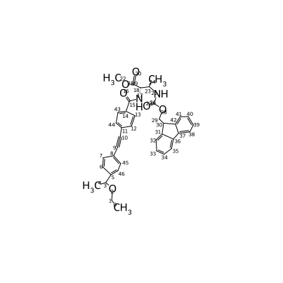 CCOC(C)c1ccc(C#Cc2ccc(C(=O)N[C@H](C(=O)OC)[C@@H](C)NC(=O)OCC3c4ccccc4-c4ccccc43)cc2)cc1